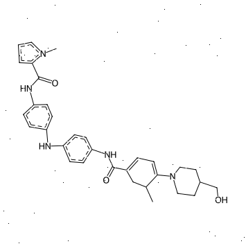 CC1CC(C(=O)Nc2ccc(Nc3ccc(NC(=O)c4cccn4C)cc3)cc2)=CC=C1N1CCC(CO)CC1